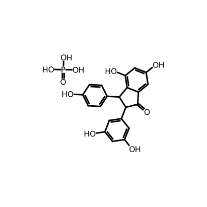 O=C1c2cc(O)cc(O)c2C(c2ccc(O)cc2)C1c1cc(O)cc(O)c1.O=P(O)(O)O